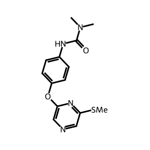 CSc1cncc(Oc2ccc(NC(=O)N(C)C)cc2)n1